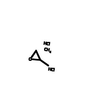 C.CC1CO1.Cl.Cl